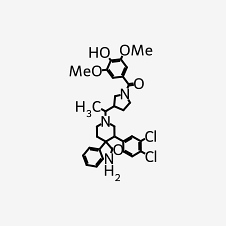 COc1cc(C(=O)N2CCC(C(C)N3CCC(C(N)=O)(c4ccccc4)C(c4ccc(Cl)c(Cl)c4)C3)C2)cc(OC)c1O